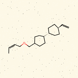 C=C[C@H]1CC[C@H](C2CCC(COC/C=C\C)CC2)CC1